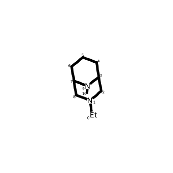 CCN1CC2C[CH]CC(C1)N2C